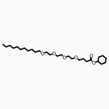 CCCCCCCCCCCOCCOCCOCCOCCCC(=O)OC1CCCCC1